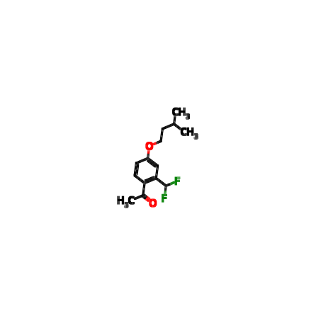 CC(=O)c1ccc(OCCC(C)C)cc1C(F)F